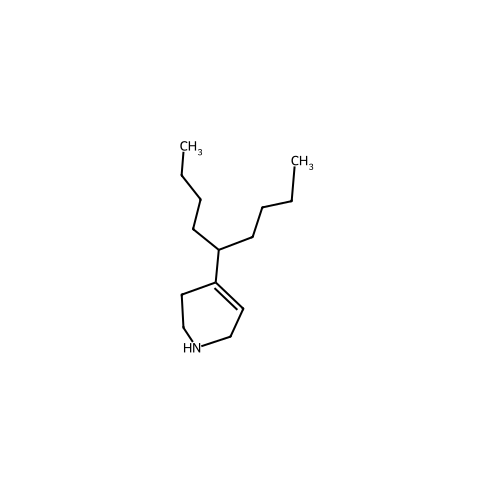 CCCCC(CCCC)C1=CCNCC1